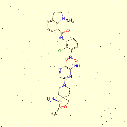 C[C@@H]1OCC2(CCN(c3cnc4on(-c5cccc(NC(=O)c6cccc7ccn(C)c67)c5Cl)o[nH]c4n3)CC2)[C@@H]1N